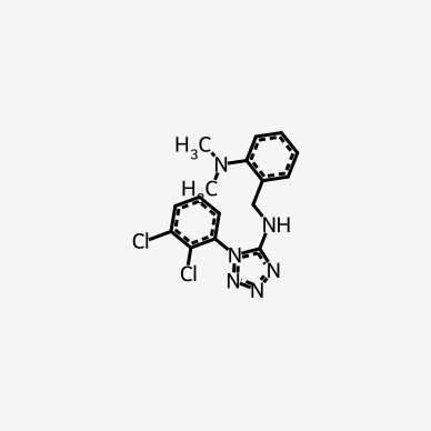 CN(C)c1ccccc1CNc1nnnn1-c1cccc(Cl)c1Cl